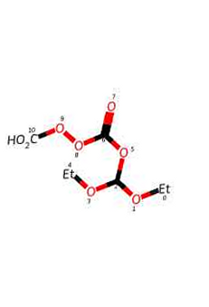 CCOC(OCC)OC(=O)OOC(=O)O